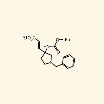 CCOC(=O)/C=C/C1(NC(=O)OC(C)(C)C)CCN(Cc2ccccc2)C1